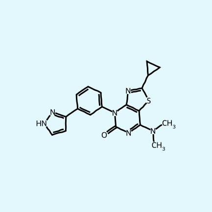 CN(C)c1nc(=O)n(-c2cccc(-c3cc[nH]n3)c2)c2nc(C3CC3)sc12